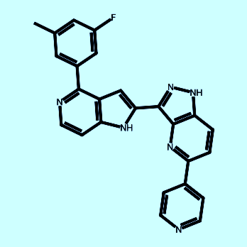 Cc1cc(F)cc(-c2nccc3[nH]c(-c4n[nH]c5ccc(-c6ccncc6)nc45)cc23)c1